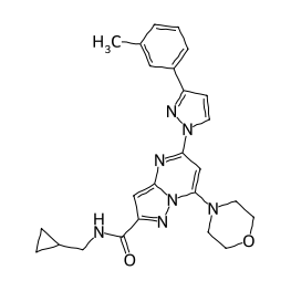 Cc1cccc(-c2ccn(-c3cc(N4CCOCC4)n4nc(C(=O)NCC5CC5)cc4n3)n2)c1